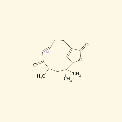 CC1CC(C)(C)C2C=C(CC/C=C/C1=O)C(=O)O2